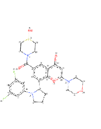 O=C(c1cc(C2CCCN2c2cc(F)cc(F)c2)c2oc(N3CCOCC3)cc(=O)c2c1)N1CC[S](O)CC1